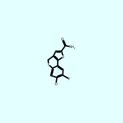 NC(=O)c1cc2c(s1)-c1cc(F)c(Cl)cc1SC2